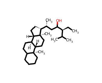 CC[C@@H](C(C)C)C(O)C[C@@H](C)[C@H]1CC[C@H]2[C@@H]3CCC4CCCC[C@]4(C)[C@H]3CC[C@]12C